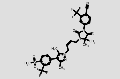 Cc1nn(C/C=C\CN2C(=O)N(c3ccc(C#N)c(C(F)(F)F)c3)C(=O)C2(C)C)c(C)c1-c1ccc(S(C)(=O)=O)c(C(F)(F)F)c1